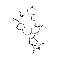 C=c1/c(=C\C(=C/C)OCCN2CCOCC2)c2c(n1Cc1ccc(C(=O)NO)cc1)CN1CC2C(=O)N(C)C1=O